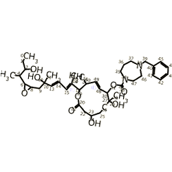 CCC(O)C(C)C1OC1CC(C)(O)C=C/C=C(\C)C1OC(=O)CC(O)CCC(C)(O)C(OC(=O)N2CCCN(Cc3ccccc3)CC2)/C=C/C1C